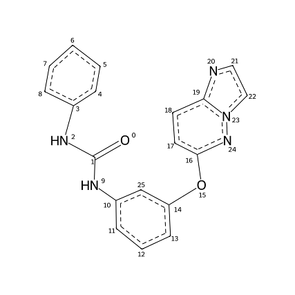 O=C(Nc1ccccc1)Nc1cccc(Oc2ccc3nccn3n2)c1